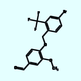 COc1cc(C=O)ccc1OCc1ccc(Br)cc1C(F)(F)F